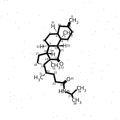 C=C1CC[C@]2(C)[C@@H](CC[C@H]3[C@H]2CC(=O)[C@]2(C)[C@@H]3CC[C@H]2[C@@H](C)CCC(=O)NC(C)C)C1